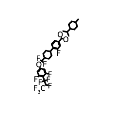 CC1CCC(C2COC(c3ccc(C4CCC(C(F)(F)Oc5cc(F)c(C(F)(F)C(F)C(F)(F)F)c(F)c5)CC4)c(F)c3)OC2)CC1